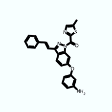 Cc1cnc(C(=O)n2nc(C=Cc3ccccc3)c3ccc(Oc4cccc(N)c4)cc32)s1